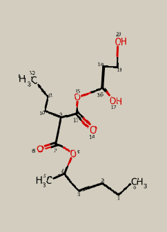 CCCCC(C)OC(=O)C(CCC)C(=O)OC(O)CCO